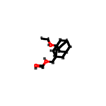 CCOC12CC3CC(CC(COC=O)(C3)C1)C2